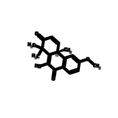 COc1ccc2c(c1)[C@]1(C)C=CC(=O)C(C)(C)C1=C(O)C2=O